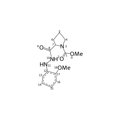 COC(=O)N1CCCC1C(=O)NNc1ccccc1OC